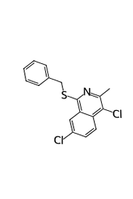 Cc1nc(SCc2ccccc2)c2cc(Cl)ccc2c1Cl